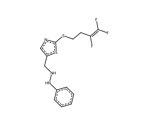 FC(F)=C(F)CCSc1ncc(CNNc2ccccc2)s1